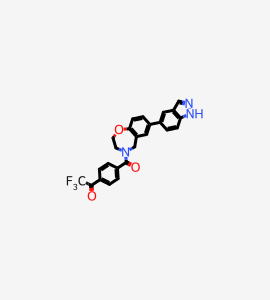 O=C(c1ccc(C(=O)C(F)(F)F)cc1)N1CCOc2ccc(-c3ccc4[nH]ncc4c3)cc2C1